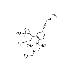 COCC#Cc1ccc(N2CCN(CC3CC3)CC2)c(C2CC(C)(C)CC(C)(C)C2)c1.Cl